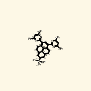 CC(C)c1cc(C(C)C)nc(-c2cc(-c3nc(C(C)C)cc(C(C)C)n3)c3ccc4cc(S(C(C)C)(C(C)C)C(C)C)cc5ccc2c3c54)n1